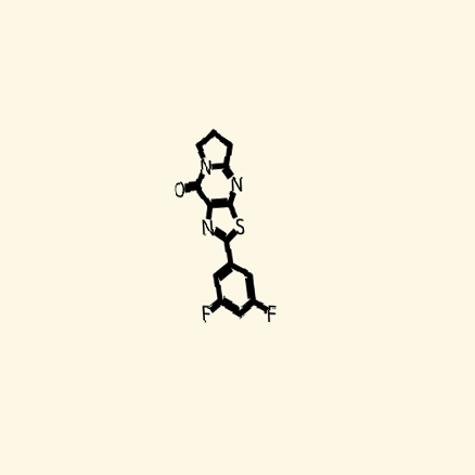 O=c1c2nc(-c3cc(F)cc(F)c3)sc2nc2n1CCC2